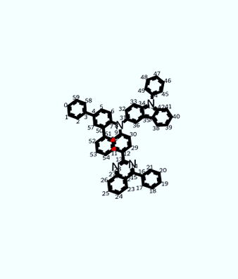 c1ccc(-c2ccc(N(c3ccc(-c4nc(-c5ccccc5)c5ccccc5n4)cc3)c3ccc4c(c3)c3ccccc3n4-c3ccccc3)c(-c3ccccc3)c2)cc1